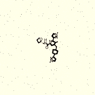 Cc1c(Cc2ccc(-c3ccn(C)n3)cc2)cc(C(=O)NC[C@@H]2CCCO2)nc1-c1ccn(C)n1